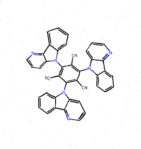 N#Cc1c(-n2c3ccccc3c3ncccc32)c(C#N)c(-n2c3ccccc3c3ncccc32)c(C#N)c1-n1c2ccccc2c2ncccc21